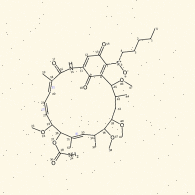 CCCCC[S+]([O-])C1=C2C(=O)C(=CC1=O)NC(=O)/C(C)=C/C=C\C(OC)C(OC(N)=O)/C(C)=C/C(C)C(OC)C(OC)CC(C)C2OC